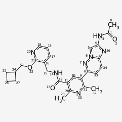 CC(=O)Nc1cn2nc(-c3cc(C(=O)NCc4cccnc4OCC4CCC4)c(C)nc3C)ccc2n1